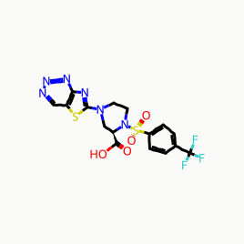 O=C(O)[C@H]1CN(c2nc3nnncc3s2)CCN1S(=O)(=O)c1ccc(C(F)(F)F)cc1